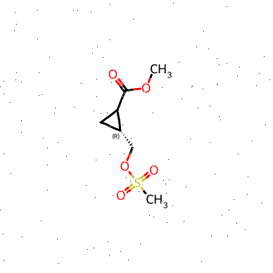 COC(=O)C1C[C@H]1COS(C)(=O)=O